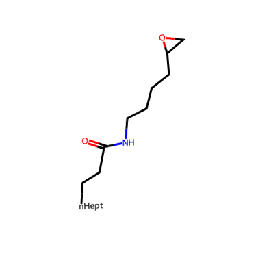 CCCCCCCCCC(=O)NCCCCC1CO1